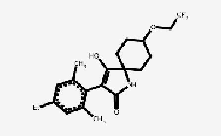 CCc1cc(C)c(C2=C(O)C3(CCC(OCC(F)(F)F)CC3)NC2=O)c(C)c1